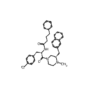 CN1CCN(C(=O)[C@@H](Cc2ccc(Cl)cc2)NC(=O)CCCc2ccccc2)C[C@H]1Cc1ccc2ccccc2c1